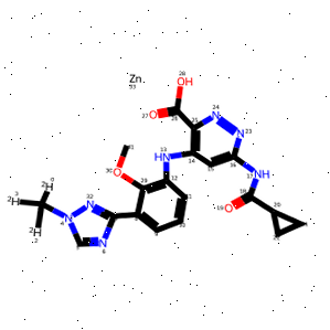 [2H]C([2H])([2H])n1cnc(-c2cccc(Nc3cc(NC(=O)C4CC4)nnc3C(=O)O)c2OC)n1.[Zn]